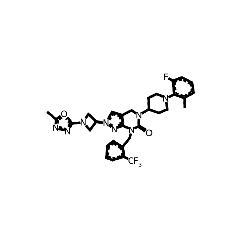 Cc1nnc(N2CC(n3cc4c(n3)N(Cc3ccccc3C(F)(F)F)C(=O)N(C3CCN(c5c(C)cccc5F)CC3)C4)C2)o1